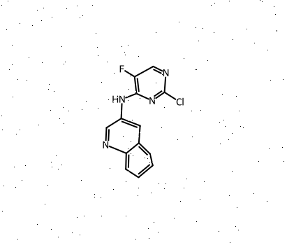 Fc1cnc(Cl)nc1Nc1cnc2ccccc2c1